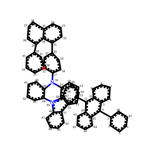 c1ccc(-c2c3ccccc3c(-c3ccc(N(c4ccc(-c5cccc6cccc(-c7ccccc7)c56)cc4)c4ccccc4-n4c5ccccc5c5ccccc54)cc3)c3ccccc23)cc1